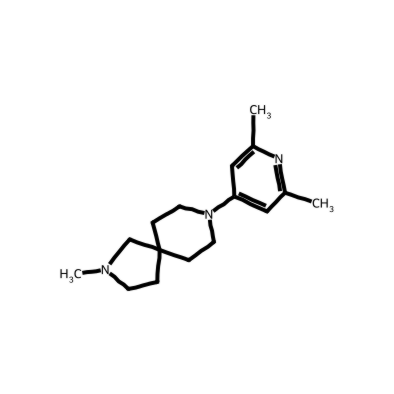 Cc1cc(N2CCC3(CCN(C)C3)CC2)cc(C)n1